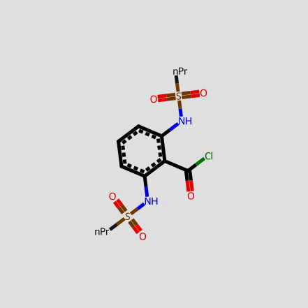 CCCS(=O)(=O)Nc1cccc(NS(=O)(=O)CCC)c1C(=O)Cl